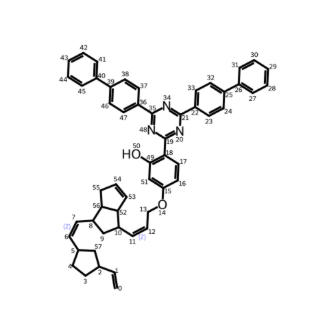 C=CC1CCC(/C=C\C2CC(/C=C\COc3ccc(-c4nc(-c5ccc(-c6ccccc6)cc5)nc(-c5ccc(-c6ccccc6)cc5)n4)c(O)c3)C3C=CCC23)C1